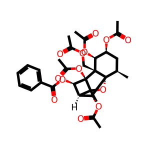 CC(=O)OC[C@@]12[C@@H](OC(C)=O)[C@@H](OC(C)=O)C[C@@H](C)[C@]13OC1(C)[C@@H]([C@H]3OC(C)=O)[C@@H](OC(=O)c3ccccc3)[C@@]12OC(C)=O